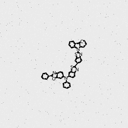 c1ccc(-c2nc3ccc(N(c4ccccc4)c4ccc5nc(-c6ccc7nc(-n8c9ccccc9c9ccccc98)sc7c6)sc5c4)cc3o2)cc1